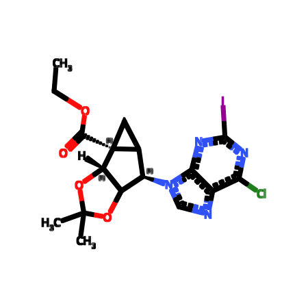 CCOC(=O)[C@]12CC1[C@@H](n1cnc3c(Cl)nc(I)nc31)C1OC(C)(C)O[C@@H]12